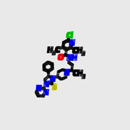 Cc1cc(Cl)nc(C)c1C(=O)NCCC(C)N1CCC(N2C(=S)N(c3ncccn3)C[C@H]2c2ccccc2)CC1